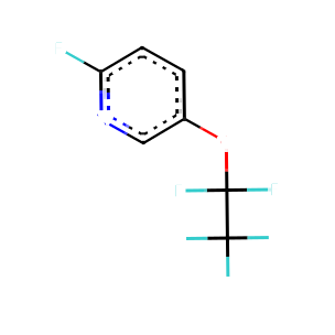 Fc1ccc(OC(F)(F)C(F)(F)F)cn1